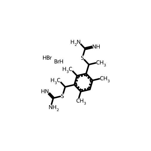 Br.Br.Cc1cc(C)c(C(C)SC(=N)N)c(C)c1C(C)SC(=N)N